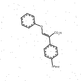 CCCCCc1ccc(C(=COc2ccccc2)C(=O)O)cc1